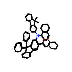 Cc1cc2c(cc1-c1cc3c(cc1N(c1ccc4c(c1)C(C)(C)c1ccccc1-4)c1cccc4c1CCCC4)C(c1ccccc1)(c1ccccc1)c1ccccc1-3)CCCC2